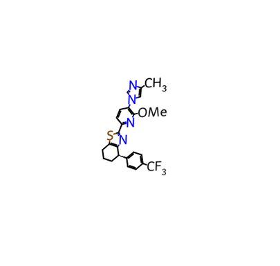 COc1nc(-c2nc3c(s2)CCC[C@@H]3c2ccc(C(F)(F)F)cc2)ccc1-n1cnc(C)c1